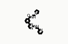 O=C(NCCN1CCCC1)c1cccc(-c2ccnc(NCCc3ccccn3)n2)c1